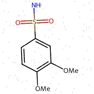 COc1ccc(S([NH])(=O)=O)cc1OC